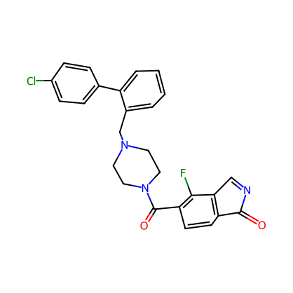 O=C1N=Cc2c1ccc(C(=O)N1CCN(Cc3ccccc3-c3ccc(Cl)cc3)CC1)c2F